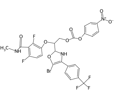 CNC(=O)c1c(F)ccc(OC(COC(=O)Oc2ccc([N+](=O)[O-])cc2)C2NC(c3ccc(C(F)(F)F)cc3)=C(Br)O2)c1F